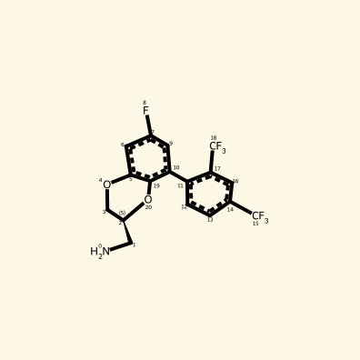 NC[C@H]1COc2cc(F)cc(-c3ccc(C(F)(F)F)cc3C(F)(F)F)c2O1